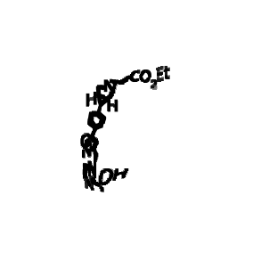 CCOC(=O)CCCN1C[C@@H]2[C@H](C1)[C@H]2c1ccc(-c2cc(Cn3ccnc3[C@H](C)O)no2)cc1